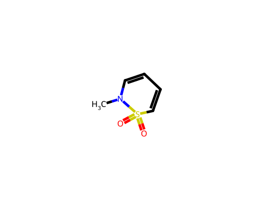 CN1C=CC=CS1(=O)=O